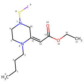 CCCCN1CCN(SI)C/C1=C\C(=O)OCC